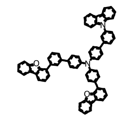 c1cc(-c2ccc(N(c3ccc(-c4cccc(-n5c6ccccc6c6ccccc65)c4)cc3)c3ccc(-c4cccc5c4oc4ccccc45)cc3)cc2)cc(-c2cccc3c2oc2ccccc23)c1